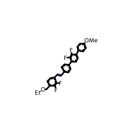 CCOCc1ccc(/C=C/c2ccc(-c3ccc(-c4ccc(OC)cc4)c(F)c3F)cc2)c(F)c1F